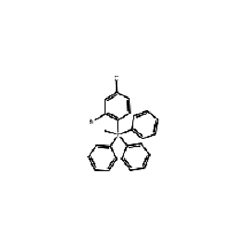 CP(c1ccccc1)(c1ccccc1)(c1ccccc1)c1ccc(Cl)cc1Br